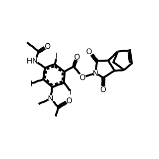 CC(=O)Nc1c(I)c(C(=O)ON2C(=O)C3C4C=CC(C4)C3C2=O)c(I)c(N(C)C(C)=O)c1I